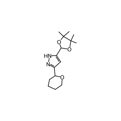 CC1(C)OC(c2cc(C3CCCCO3)n[nH]2)OC1(C)C